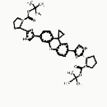 CC(C)(C)OC(=O)N1CCCC1c1nc(-c2ccc3c(c2)Oc2ccc(-c4c[nH]c([C@@H]5CCCN5C(=O)OC(C)(C)C)n4)cc2C32CC2)c[nH]1